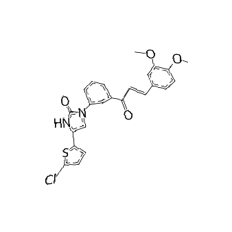 COc1ccc(C=CC(=O)c2cccc(-n3cc(-c4ccc(Cl)s4)[nH]c3=O)c2)cc1OC